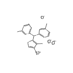 CC1=C(C(c2cccc(C)c2)c2cccc(C)c2)CC=[C]1[Ti+3].[Cl-].[Cl-].[Cl-]